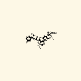 Cc1nc(-c2nnn(C)c2C(=O)NC(=O)O[C@H](CF)c2cccc(F)c2)ccc1NC(=O)OC(C)(C)C